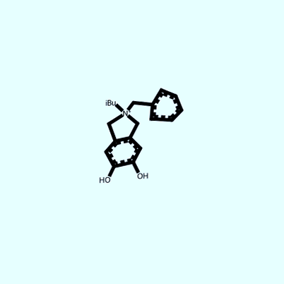 CCC(C)[N+]1(Cc2ccccc2)Cc2cc(O)c(O)cc2C1